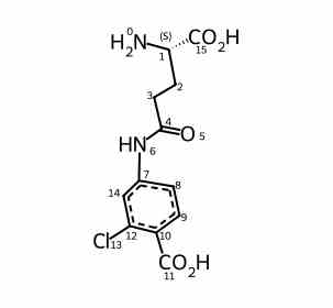 N[C@@H](CCC(=O)Nc1ccc(C(=O)O)c(Cl)c1)C(=O)O